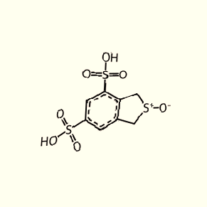 O=S(=O)(O)c1cc2c(c(S(=O)(=O)O)c1)C[S+]([O-])C2